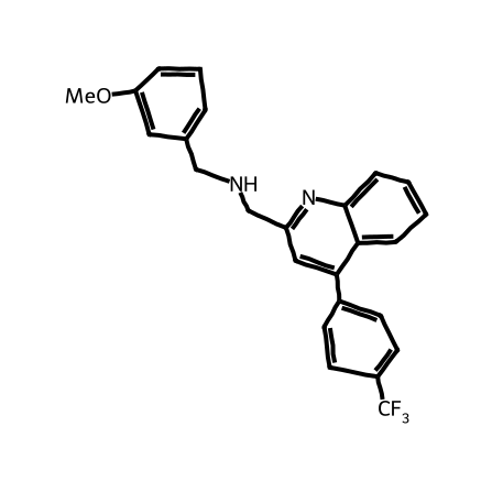 COc1cccc(CNCc2cc(-c3ccc(C(F)(F)F)cc3)c3ccccc3n2)c1